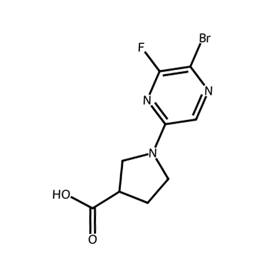 O=C(O)C1CCN(c2cnc(Br)c(F)n2)C1